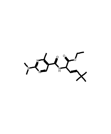 CCOC(=O)C(C=CC(C)(C)C)NC(=O)c1cnc(N(C)C)nc1C